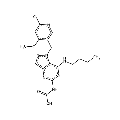 CCCCNc1nc(NC(=O)O)nc2cnn(Cc3cnc(Cl)cc3OC)c12